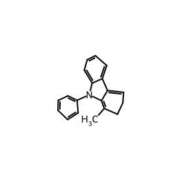 CC1=c2c(c3ccccc3n2-c2ccccc2)=CCC1